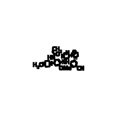 C=CC(=O)Nc1cc(Nc2cc(N3OCC[C@@H]3c3cccc(C#N)c3)ncn2)c(OC)cc1N1CCN(C)CC1